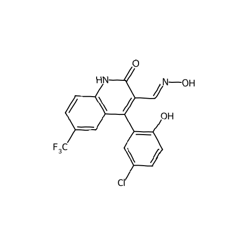 O=c1[nH]c2ccc(C(F)(F)F)cc2c(-c2cc(Cl)ccc2O)c1/C=N/O